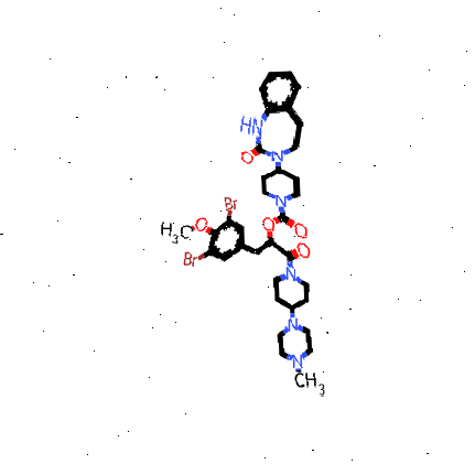 COc1c(Br)cc(CC(OC(=O)N2CCC(N3CCc4ccccc4NC3=O)CC2)C(=O)N2CCC(N3CCN(C)CC3)CC2)cc1Br